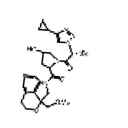 COCC1(CNC(=O)C2CC(O)CN2C(=O)[C@H](n2cc(C3CC3)nn2)C(C)(C)C)OCCc2ccccc21